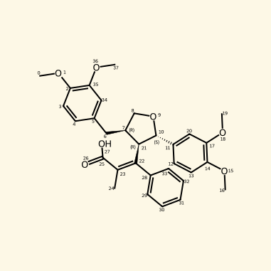 COc1ccc(C[C@H]2CO[C@H](c3ccc(OC)c(OC)c3)[C@H]2C(=C(C)C(=O)O)c2ccccc2)cc1OC